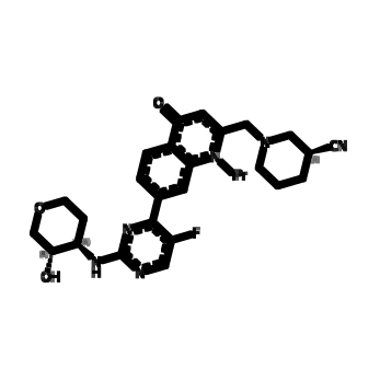 CC(C)n1c(CN2CCC[C@H](C#N)C2)cc(=O)c2ccc(-c3nc(N[C@@H]4CCOC[C@H]4O)ncc3F)cc21